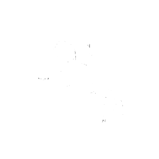 COC(=O)c1cccc2ncn(CCN[C@@H]3CN4CCC3CC4)c12